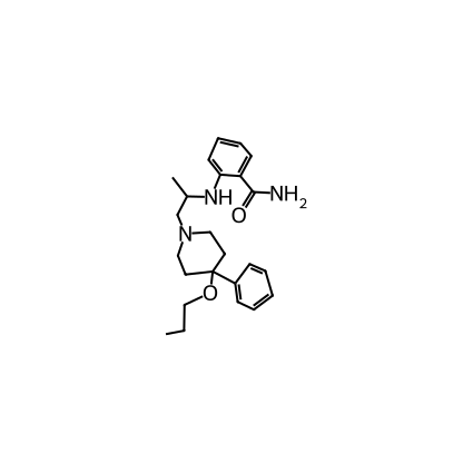 CCCOC1(c2ccccc2)CCN(CC(C)Nc2ccccc2C(N)=O)CC1